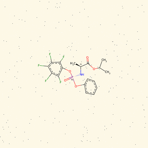 CC(C)OC(=O)[C@H](C)N[P@@](=O)(Oc1ccccc1)Oc1c(F)c(F)c(F)c(F)c1F